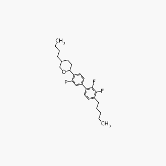 CCCCCc1ccc(-c2ccc(C3CCC(CCCC)CO3)c(F)c2)c(F)c1F